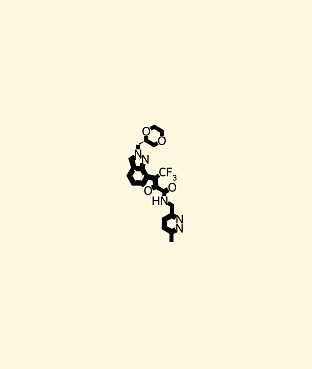 Cc1ccc(CNC(=O)c2oc3ccc4cn(C[C@H]5COCCO5)nc4c3c2C(F)(F)F)nn1